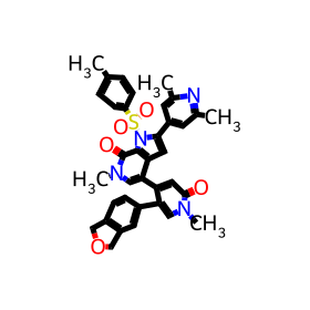 Cc1ccc(S(=O)(=O)n2c(-c3cc(C)nc(C)c3)cc3c(-c4cc(=O)n(C)cc4-c4ccc5c(c4)COC5)cn(C)c(=O)c32)cc1